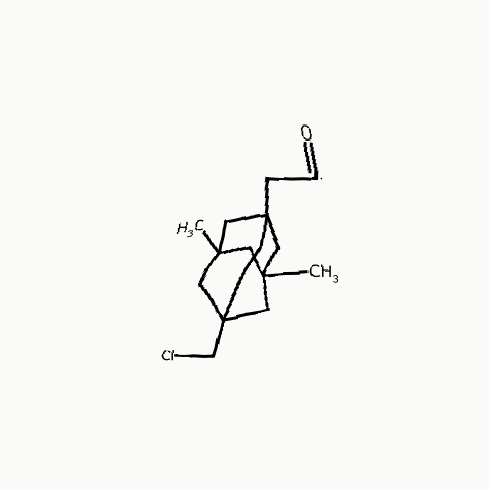 CC12CC3(C)CC(CCl)(C1)CC(C[C]=O)(C2)C3